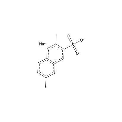 Cc1ccc2cc(C)c(S(=O)(=O)[O-])cc2c1.[Na+]